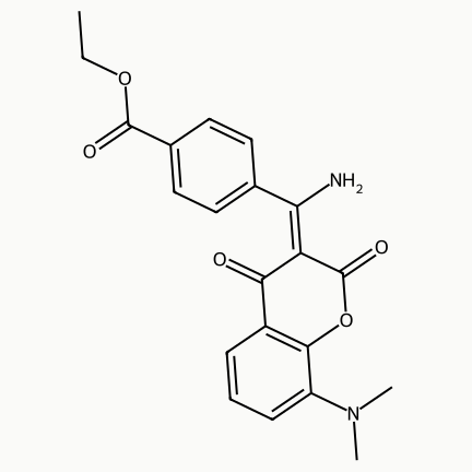 CCOC(=O)c1ccc(/C(N)=C2/C(=O)Oc3c(cccc3N(C)C)C2=O)cc1